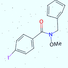 CON(Cc1ccccc1)C(=O)c1ccc(I)cc1